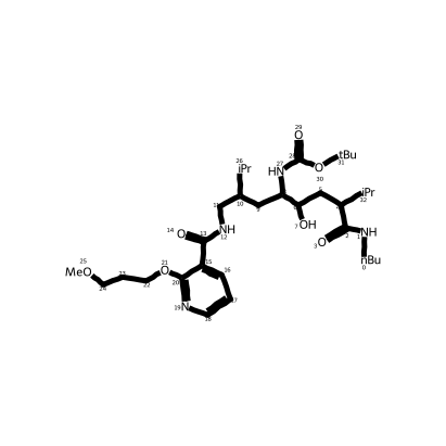 CCCCNC(=O)C(CC(O)C(CC(CNC(=O)c1cccnc1OCCCOC)C(C)C)NC(=O)OC(C)(C)C)C(C)C